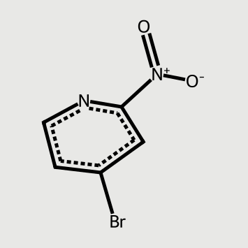 O=[N+]([O-])c1cc(Br)ccn1